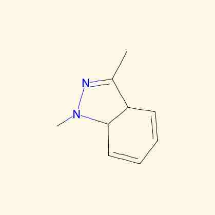 CC1=NN(C)C2C=CC=CC12